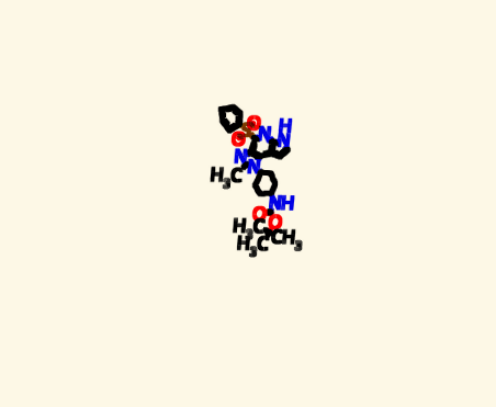 Cc1nc2c(S(=O)(=O)c3ccccc3)nc3[nH]ccc3c2n1C1CCC(NC(=O)OC(C)(C)C)CC1